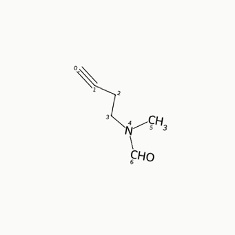 [C]#CCCN(C)C=O